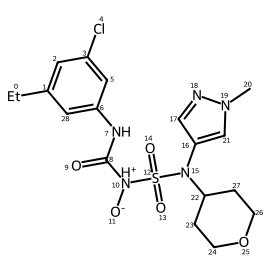 CCc1cc(Cl)cc(NC(=O)[NH+]([O-])S(=O)(=O)N(c2cnn(C)c2)C2CCOCC2)c1